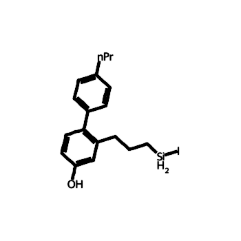 CCCc1ccc(-c2ccc(O)cc2CCC[SiH2]I)cc1